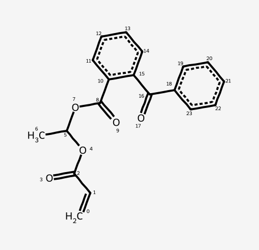 C=CC(=O)OC(C)OC(=O)c1ccccc1C(=O)c1ccccc1